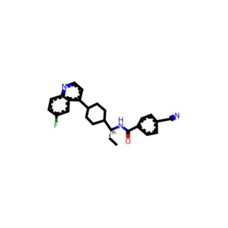 CC[C@@H](NC(=O)c1ccc(C#N)cc1)C1CCC(c2ccnc3ccc(F)cc23)CC1